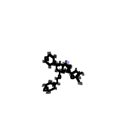 Cc1cc(N/N=C\c2cc(N3CCOCC3)cc(OCCN3CCOCC3)n2)oc1C